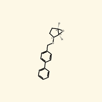 c1ccc(-c2ccc(CO[C@H]3CC[C@H]4O[C@@H]34)cc2)cc1